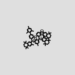 Cc1cc(C)c(-c2ccc3c(c2)B2c4ccc5oc6cc7c(cc6c5c4N(c4cc5c(cc4C)C(C)(C)CCC5(C)C)c4cc(C)cc(c42)N3c2cc3c(cc2C)C(C)(C)CCC3(C)C)C(C)(C)CCC7(C)C)c(C)c1